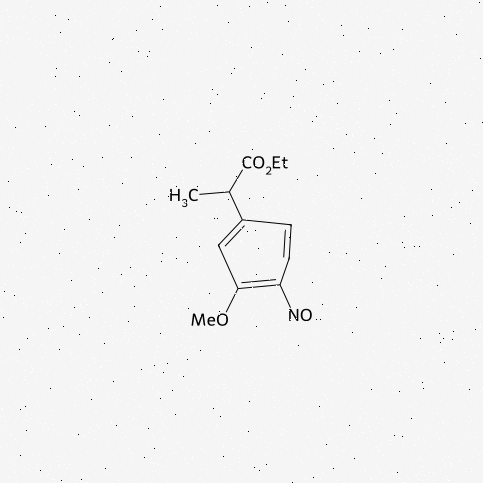 CCOC(=O)C(C)c1ccc(N=O)c(OC)c1